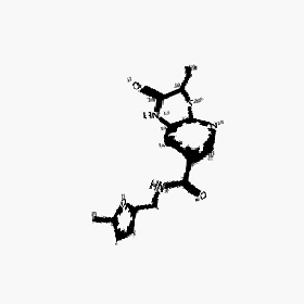 Cc1ccc(CNC(=O)c2cnc3c(c2)NC(=O)C(C)S3)o1